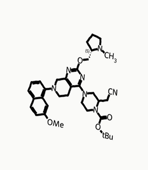 COc1ccc2cccc(N3CCc4c(nc(OC[C@@H]5CCCN5C)nc4N4CCN(C(=O)OC(C)(C)C)C(CC#N)C4)C3)c2c1